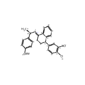 COc1ccc([C@@H](C)/N=C2\CCC(c3ccc(Cl)c(Cl)c3)c3ccccc32)cc1